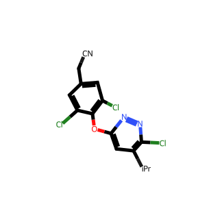 CC(C)c1cc(Oc2c(Cl)cc(CC#N)cc2Cl)nnc1Cl